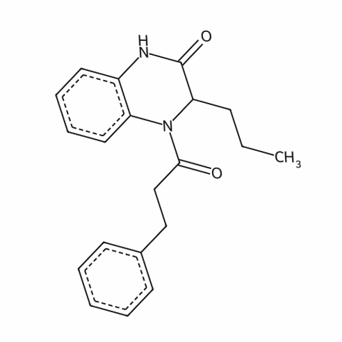 CCCC1C(=O)Nc2ccccc2N1C(=O)CCc1ccccc1